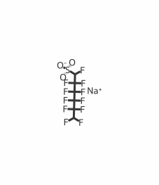 O=S(=O)([O-])C(F)C(F)(F)C(F)(F)C(F)(F)C(F)(F)C(F)F.[Na+]